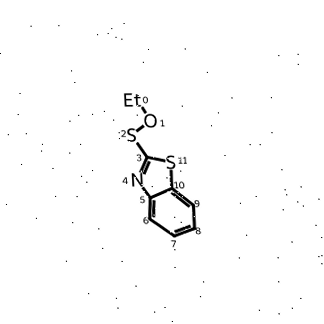 CCOSc1nc2ccccc2s1